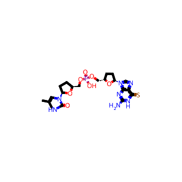 CC1=CN([C@H]2CC[C@@H](COP(=O)(O)OC[C@@H]3CC[C@H](n4cnc5c(=S)[nH]c(N)nc54)O3)O2)C(=O)NC1